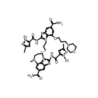 CCn1nc(C)cc1C(=O)Nc1nc2cc(C(N)=O)cc(OCCCN3CCOCC3)c2n1CCC[C@H]1CCN(C)c2cc(C(N)=O)cc3nc(NC(=O)c4cc(C)nn4CC)n1c23